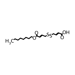 CCCCCCCCOC(=O)C=CCSSCC=CC(=O)O